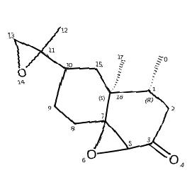 C[C@@H]1CC(=O)C2OC23CCC(C2(C)CO2)C[C@@]13C